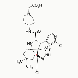 CC1(C)CCC2(CC1)N[C@@H](C(=O)NC1CCN(CC(=O)O)CC1)[C@H](c1ccnc(Cl)c1F)[C@]21C(=O)Nc2cc(Cl)ccc21